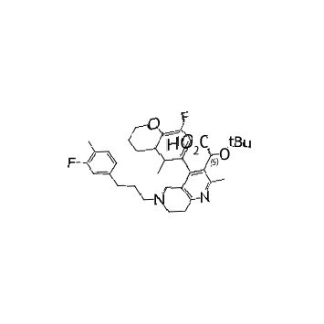 Cc1ccc(CCCN2CCc3nc(C)c([C@H](OC(C)(C)C)C(=O)O)c(C4=CC(F)=C5OCCCC5C4C)c3C2)cc1F